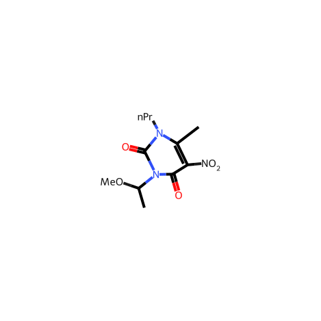 CCCn1c(C)c([N+](=O)[O-])c(=O)n(C(C)OC)c1=O